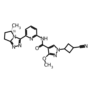 COc1nn(C2CC(C#N)C2)cc1C(=O)Nc1cccc(-c2nnc3n2[C@@H](C)CC3)n1